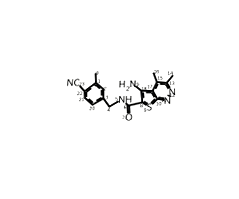 Cc1cc(CNC(=O)c2sc3nnc(C)c(C)c3c2N)ccc1C#N